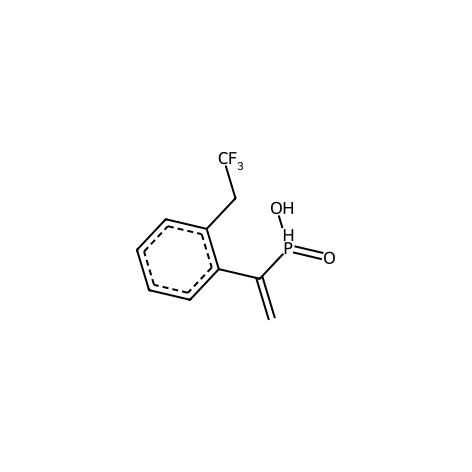 C=C(c1ccccc1CC(F)(F)F)[PH](=O)O